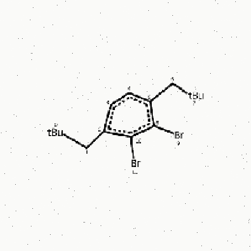 CC(C)(C)Cc1ccc(CC(C)(C)C)c(Br)c1Br